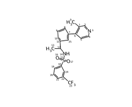 Cc1cnccc1-c1cccc(C(C)NS(=O)(=O)c2cccc(C(F)(F)F)c2)c1